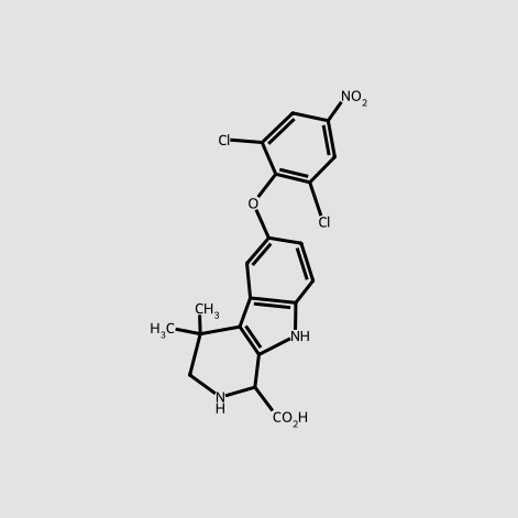 CC1(C)CNC(C(=O)O)c2[nH]c3ccc(Oc4c(Cl)cc([N+](=O)[O-])cc4Cl)cc3c21